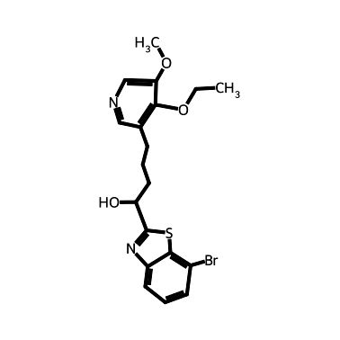 CCOc1c(CCCC(O)c2nc3cccc(Br)c3s2)cncc1OC